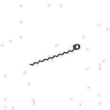 CCCCCCCCCCCCCCCCCCC1CC2C=CC1C2